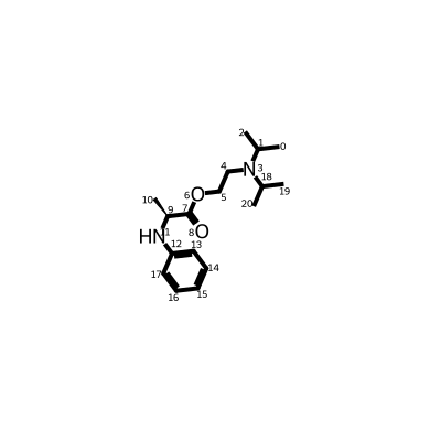 CC(C)N(CCOC(=O)[C@H](C)Nc1ccccc1)C(C)C